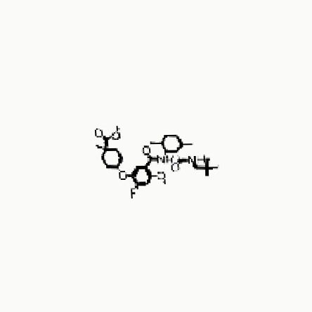 COc1cc(F)c(O[C@H]2CC[C@@](C)(C(=O)OC)CC2)cc1C(=O)N[C@H]1[C@@H](C(=O)NCC(C)(C)C)[C@H](C)CC[C@@H]1C